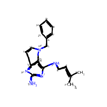 CC(C)=CCNc1nc(N)nc2ccn(Cc3ccccc3)c12